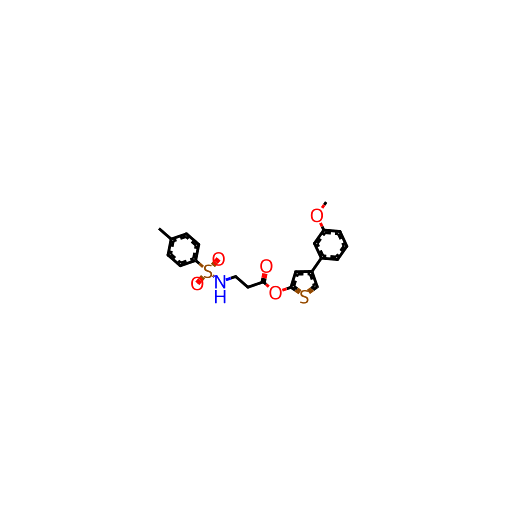 COc1cccc(-c2csc(OC(=O)CCNS(=O)(=O)c3ccc(C)cc3)c2)c1